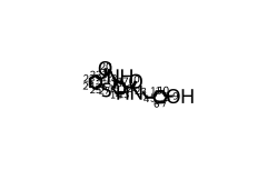 O=C(NCCc1ccc(O)cc1)c1ccc2c(c1)NC(=O)c1ccccc1S2